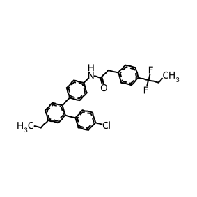 CCc1ccc(-c2ccc(NC(=O)Cc3ccc(C(F)(F)CC)cc3)cc2)c(-c2ccc(Cl)cc2)c1